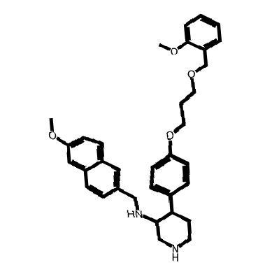 COc1ccc2cc(CNC3CNCCC3c3ccc(OCCCOCc4ccccc4OC)cc3)ccc2c1